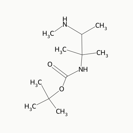 CNC(C)C(C)(C)NC(=O)OC(C)(C)C